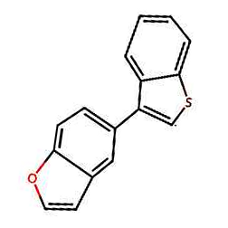 [c]1sc2ccccc2c1-c1ccc2occc2c1